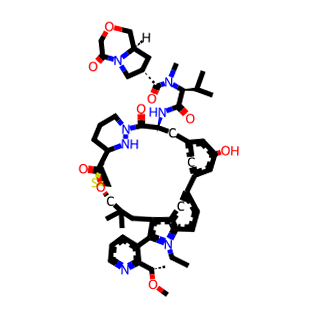 CCn1c(-c2cccnc2[C@H](C)OC)c2c3cc(ccc31)-c1cc(O)cc(c1)C[C@H](NC(=O)[C@H](C(C)C)N(C)C(=O)[C@H]1C[C@@H]3COCC(=O)N3C1)C(=O)N1CCC[C@@](C3=CS3)(N1)C(=O)OCC(C)(C)C2